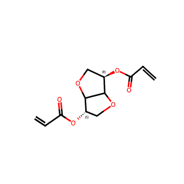 C=CC(=O)O[C@H]1COC2C1OC[C@H]2OC(=O)C=C